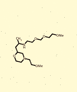 COCCOCOCCNC(C)CC1CN(CCOC)CCO1